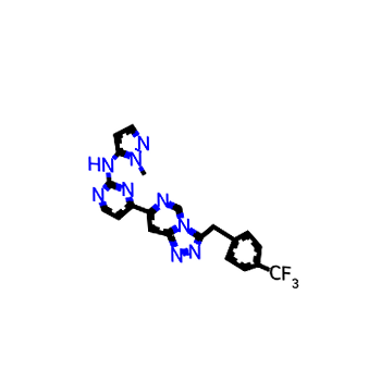 Cn1nccc1Nc1nccc(-c2cc3nnc(Cc4ccc(C(F)(F)F)cc4)n3cn2)n1